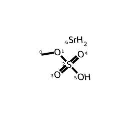 COS(=O)(=O)O.[SrH2]